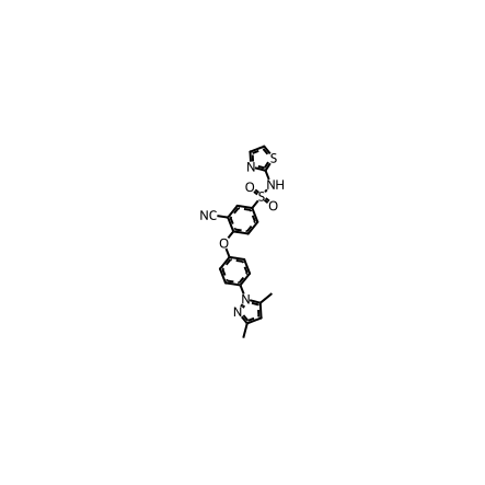 Cc1cc(C)n(-c2ccc(Oc3ccc(S(=O)(=O)Nc4nccs4)cc3C#N)cc2)n1